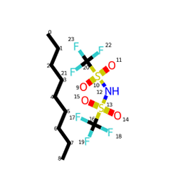 CCCCCCCCC.O=S(=O)(NS(=O)(=O)C(F)(F)F)C(F)(F)F